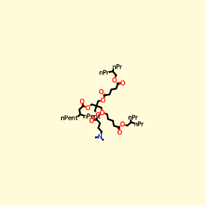 CCCCCC(CCCCC)CC(=O)OCC(COCCCCC(=O)OCC(CCC)CCC)(COC(=O)CCCC(=O)OCC(CCC)CCC)COC(=O)CCCN(C)C